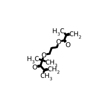 C=C(C)C(=O)OCCCOC(C)(C)C(=O)C(=C)C